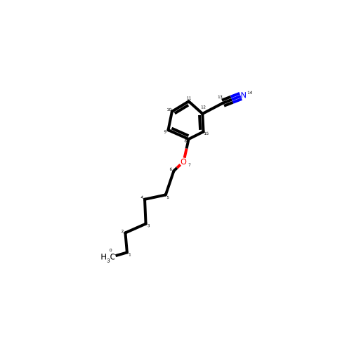 CCCCCCCOc1cc[c]c(C#N)c1